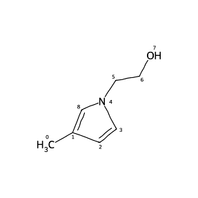 Cc1ccn(CCO)c1